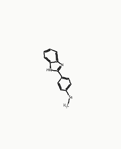 C[Se]c1ccc(-c2nc3ccccc3[nH]2)cc1